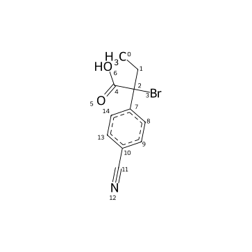 CCC(Br)(C(=O)O)c1ccc(C#N)cc1